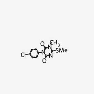 CSc1nc(=O)n(-c2ccc(Cl)cc2)c(=O)n1C